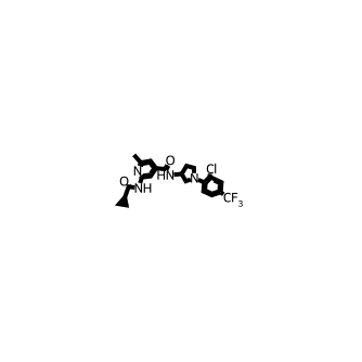 Cc1cc(C(=O)NC2CCN(c3ccc(C(F)(F)F)cc3Cl)C2)cc(NC(=O)C2CC2)n1